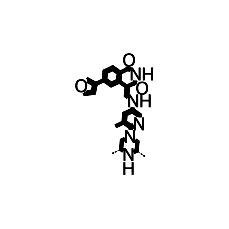 Cc1cc(N/C=C2\C(=O)NC(=O)c3ccc(-c4ccoc4)cc32)cnc1N1C[C@@H](C)N[C@@H](C)C1